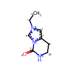 CC[n+]1cc2n(c1)C(=O)NCC2